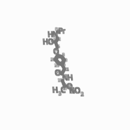 CC(C)NCC(O)COc1ccc(CC(=O)NCC(C)O[N+](=O)[O-])cc1